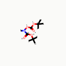 CN(OC(=O)OC(C)(C)C)C(=O)OC(C)(C)C